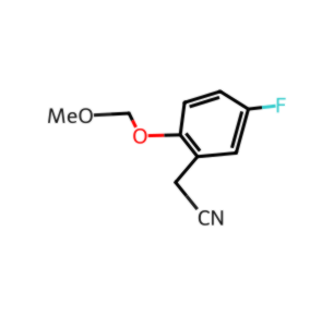 COCOc1ccc(F)cc1CC#N